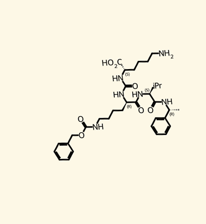 CC(C)[C@H](NC(=O)[C@@H](CCCCNC(=O)OCc1ccccc1)NC(=O)N[C@@H](CCCCN)C(=O)O)C(=O)N[C@H](C)c1ccccc1